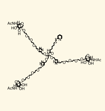 CC(=O)N[C@H]1[C@@H]2OC[C@](COCCOCCOCCOCCn3cc(COCC(COCc4cn(CCOCCOCCOCCOC[C@@]56CO[C@@H](O5)[C@H](NC(C)=O)[C@@H](O)[C@H]6O)nn4)(COCc4cn(CCOCCOCCOCCOC[C@@]56CO[C@@H](O5)[C@H](NC(C)=O)[C@@H](O)[C@H]6O)nn4)NC(=O)CCCCCSSc4ccccn4)nn3)(O2)[C@H](O)[C@@H]1O